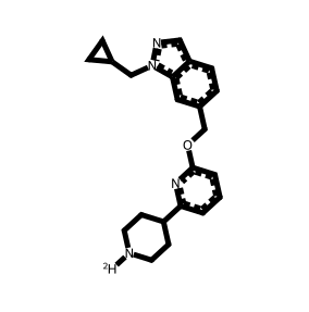 [2H]N1CCC(c2cccc(OCc3ccc4cnn(CC5CC5)c4c3)n2)CC1